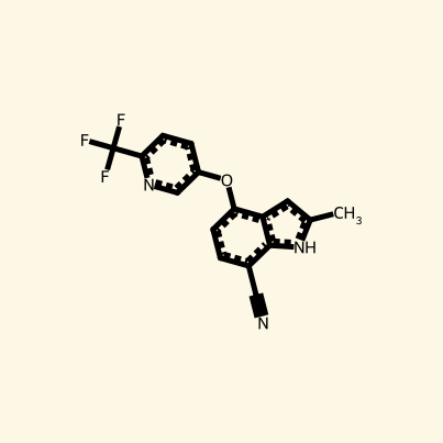 Cc1cc2c(Oc3ccc(C(F)(F)F)nc3)ccc(C#N)c2[nH]1